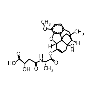 COc1ccc2c3c1O[C@H]1C(OC(=O)[C@H](C)NC(=O)C[C@H](O)C(=O)O)=CC[C@@]4(O)[C@@H](C2)C(C)CC[C@]314